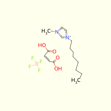 CCCCCCCC[n+]1ccn(C)c1.F[B-](F)(F)F.O=C(O)/C=C\C(=O)O